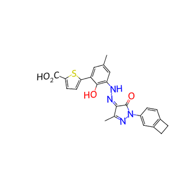 CC1=NN(c2ccc3c(c2)CC3)C(=O)/C1=N\Nc1cc(C)cc(-c2ccc(C(=O)O)s2)c1O